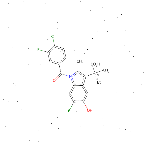 CC[C@@](C)(C(=O)O)c1c(C)n(C(=O)c2ccc(Cl)c(F)c2)c2cc(F)c(O)cc12